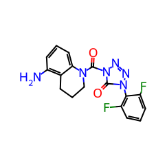 Nc1cccc2c1CCCN2C(=O)n1nnn(-c2c(F)cccc2F)c1=O